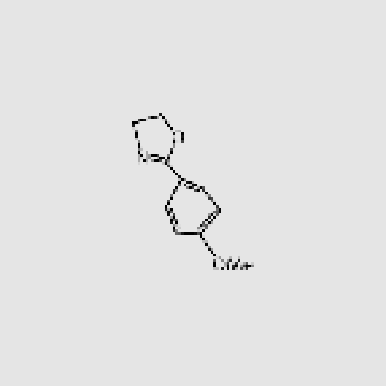 COc1ccc(C2=NCCO2)cc1